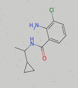 CC(NC(=O)c1cccc(Cl)c1N)C1CC1